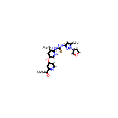 CNC(=O)c1cc(Oc2cnc(NC(=S)Nc3cc(C(C)(C)C)n([C@H]4CCOC4)n3)c(NC)c2)ccn1